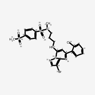 CN(CCCNc1cc(-c2ccccc2Cl)nc2c(Br)cnn12)S(=O)(=O)c1ccc(S(C)(=O)=O)cc1